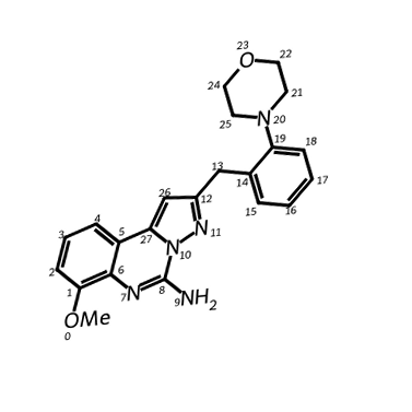 COc1cccc2c1nc(N)n1nc(Cc3ccccc3N3CCOCC3)cc21